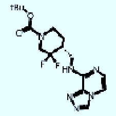 CC(C)(C)OC(=O)N1CC[C@H](CNc2nccn3cnnc23)C(F)(F)C1